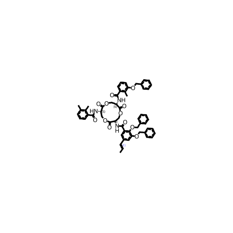 C/C=C/c1cc(OCc2ccccc2)c(OCc2ccccc2)c(C(=O)N[C@H]2COC(=O)[C@@H](NC(=O)c3cccc(OCc4ccccc4)c3C)COC(=O)[C@@H](NC(=O)c3cccc(C)c3C)COC2=O)c1